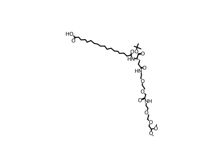 COC(COCCOCCNC(=O)COCCOCCNC(=O)CC[C@H](NC(=O)CCCCCCCCCCCCCCCCC(=O)O)C(=O)OC(C)(C)C)OC